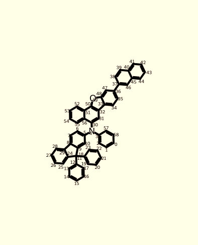 c1ccc(N(c2ccc3c(c2)C(c2ccccc2)(c2ccccc2)c2ccccc2-3)c2cc3c4ccc(-c5ccc6ccccc6c5)cc4oc3c3ccccc23)cc1